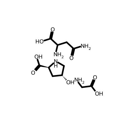 NC(=O)CC(N)C(=O)O.NCC(=O)O.O=C(O)[C@@H]1C[C@@H](O)CN1